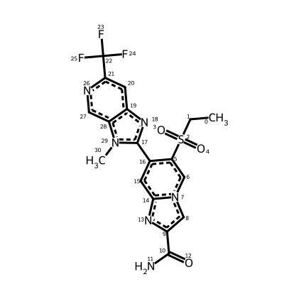 CCS(=O)(=O)c1cn2cc(C(N)=O)nc2cc1-c1nc2cc(C(F)(F)F)ncc2n1C